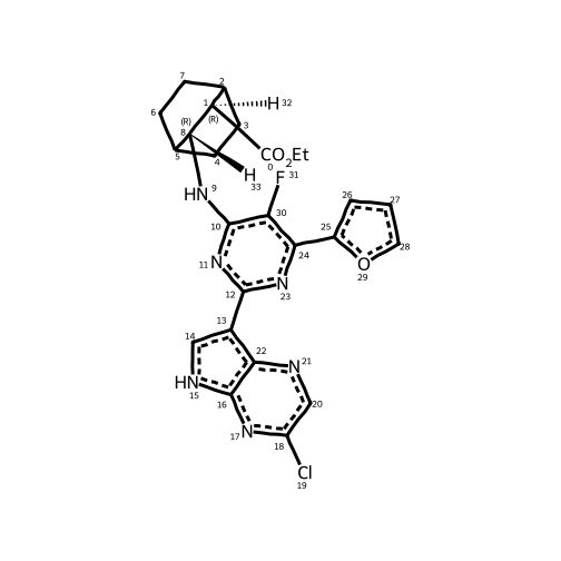 CCOC(=O)[C@@H]1C2CCC(CC2)[C@H]1Nc1nc(-c2c[nH]c3nc(Cl)cnc23)nc(-c2ccco2)c1F